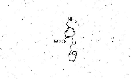 COc1cc(CN)ccc1OCC1CC2C=CC1O2